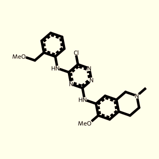 COCc1ccccc1Nc1nc(Nc2cc3c(cc2OC)CCN(C)C3)nnc1Cl